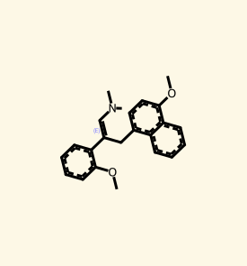 COc1ccccc1/C(=C/N(C)C)Cc1ccc(OC)c2ccccc12